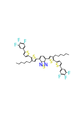 CCCCCCc1cc(-c2ccc(-c3cc(CCCCCC)c(-c4ccc(-c5cc(F)c(F)c(F)c5)s4)s3)c3nsnc23)sc1-c1ccc(-c2cc(F)c(F)c(F)c2)s1